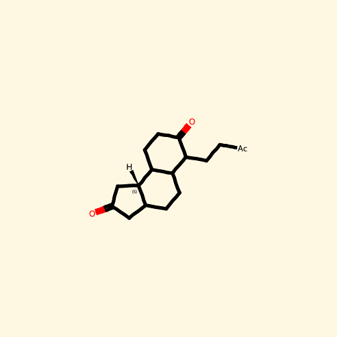 CC(=O)CCC1C(=O)CCC2C1CCC1CC(=O)C[C@@H]12